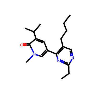 CCCCc1cnc(CC)nc1-c1cc(C(C)C)c(=O)n(C)c1